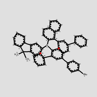 CC(C)(C)c1ccc(-c2ccc(N(c3ccc4c(c3)-c3ccccc3C4(C)C)c3ccc4ccccc4c3-c3cccc(-c4ccccc4)c3)c(-c3ccccc3)c2)cc1